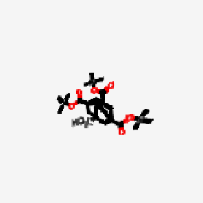 C[Si](C)(C)OC(=O)C12CC3(C(=O)O)CC(C(=O)O[Si](C)(C)C)(C1)CC(C(=O)O[Si](C)(C)C)(C3)C2